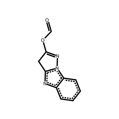 O=COC1=Nn2c(nc3ccccc32)C1